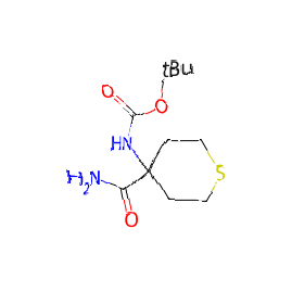 CC(C)(C)OC(=O)NC1(C(N)=O)CCSCC1